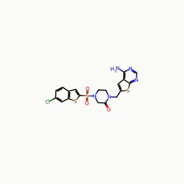 Nc1ncnc2sc(CN3CCN(S(=O)(=O)c4cc5ccc(Cl)cc5s4)CC3=O)cc12